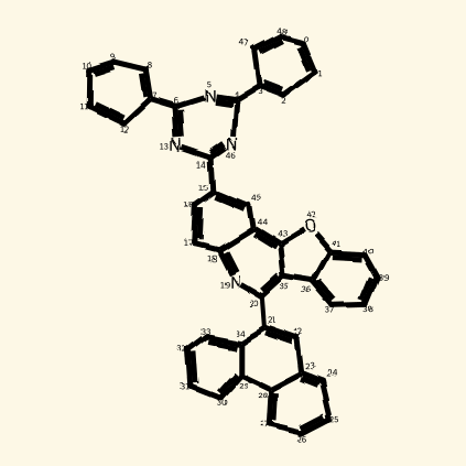 c1ccc(-c2nc(-c3ccccc3)nc(-c3ccc4nc(-c5cc6ccccc6c6ccccc56)c5c6ccccc6oc5c4c3)n2)cc1